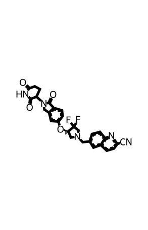 N#Cc1ccc2cc(CN3C[C@@H](Oc4ccc5c(c4)CN(C4CCC(=O)NC4=O)C5=O)C(F)(F)C3)ccc2n1